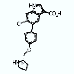 O=C(O)c1c[nH]c2cc(Cl)c(-c3ccc(OC[C@@H]4CCCN4)cc3)cc12